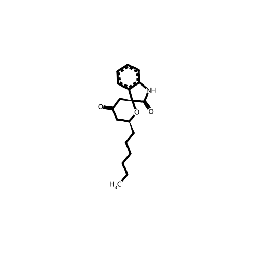 CCCCCC[C@H]1CC(=O)C[C@]2(O1)C(=O)Nc1ccccc12